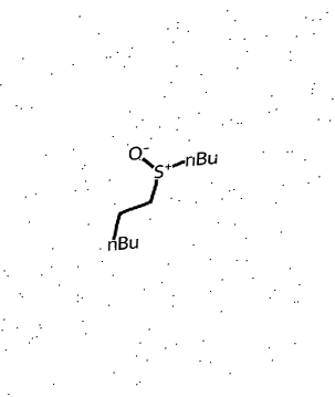 [CH2]CCCCC[S+]([O-])CCCC